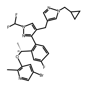 Cc1ncc(Br)cc1O[C@H](C)c1cc(F)ccc1-c1nn(C(F)F)cc1Cc1cnn(CC2CC2)c1